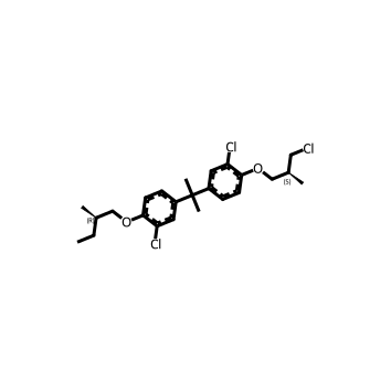 CC[C@@H](C)COc1ccc(C(C)(C)c2ccc(OC[C@H](C)CCl)c(Cl)c2)cc1Cl